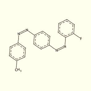 Cc1ccc(/N=N\c2ccc(/N=N\c3ccccc3F)cc2)cc1